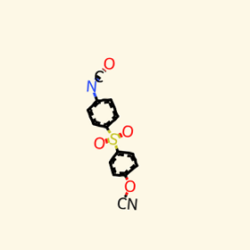 N#COc1ccc(S(=O)(=O)c2ccc(N=C=O)cc2)cc1